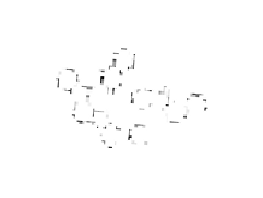 c1ccc(-c2cc(-c3nc(-n4c5ccccc5c5ccc6c7ccccc7sc6c54)nc4ccccc34)cc3oc4c5ccccc5ccc4c23)cc1